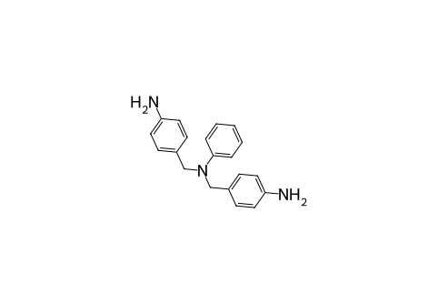 Nc1ccc(CN(Cc2ccc(N)cc2)c2ccccc2)cc1